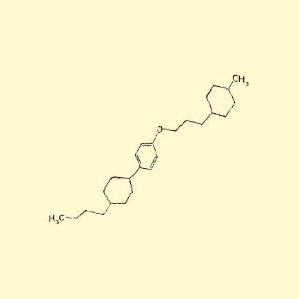 CCCCC1CCC(c2ccc(OCCCC3CCC(C)CC3)cc2)CC1